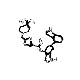 CC1(C)CCN(Cc2nc(C(=O)Nc3cc(-c4cccc5[nH]ccc45)cc4[nH]ncc34)cs2)CC1